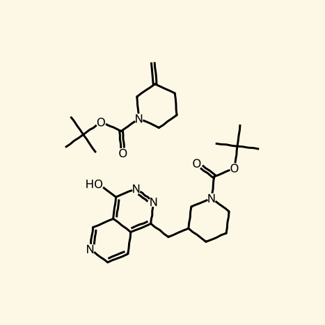 C=C1CCCN(C(=O)OC(C)(C)C)C1.CC(C)(C)OC(=O)N1CCCC(Cc2nnc(O)c3cnccc23)C1